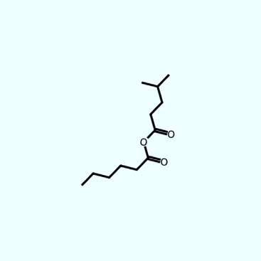 CCCCCC(=O)OC(=O)CCC(C)C